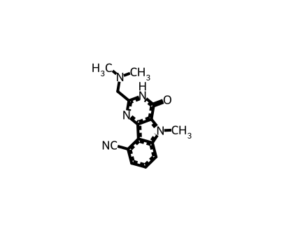 CN(C)Cc1nc2c3c(C#N)cccc3n(C)c2c(=O)[nH]1